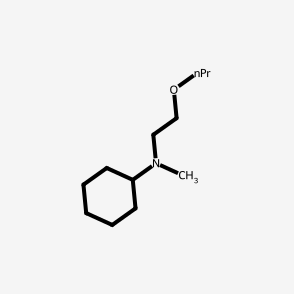 CCCOCCN(C)C1CCCCC1